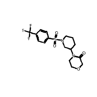 O=C1COCCN1C1CCCN(S(=O)(=O)c2ccc(C(F)(F)F)cc2)C1